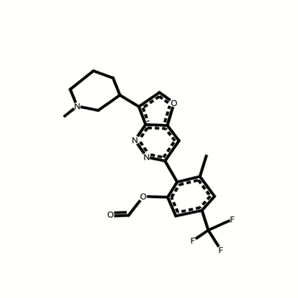 Cc1cc(C(F)(F)F)cc(OC=O)c1-c1cc2occ(C3CCCN(C)C3)c2nn1